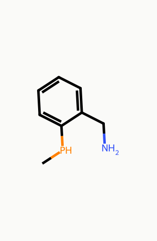 CPc1ccccc1CN